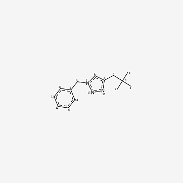 CC(C)(C)Cc1cn(Cc2ccccc2)nn1